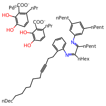 CCCCCCCCCCCCCCCCC#CCCc1ccccc1N=C(CCCCCC)C(CCCCC)=Nc1cc(CCCCC)cc(CCCCC)c1.CCCc1ccc(O)c(O)c1C(=O)[O-].CCCc1ccc(O)c(O)c1C(=O)[O-].[Pd+2]